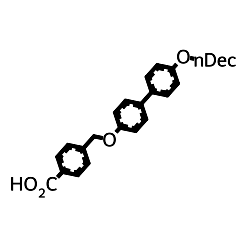 CCCCCCCCCCOc1ccc(-c2ccc(OCc3ccc(C(=O)O)cc3)cc2)cc1